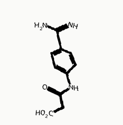 N=C(N)c1ccc(NC(=O)CC(=O)O)cc1